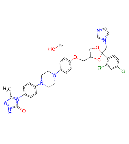 CC(C)O.Cc1n[nH]c(=O)n1-c1ccc(N2CCN(c3ccc(OCC4COC(Cn5ccnc5)(c5ccc(Cl)cc5Cl)O4)cc3)CC2)cc1